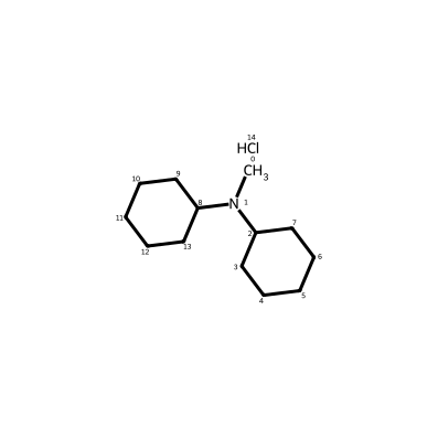 CN(C1CCCCC1)C1CCCCC1.Cl